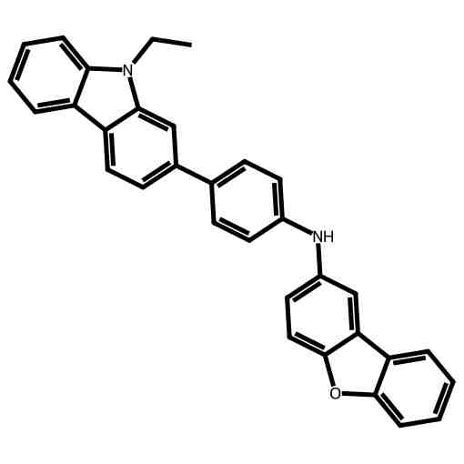 CCn1c2ccccc2c2ccc(-c3ccc(Nc4ccc5oc6ccccc6c5c4)cc3)cc21